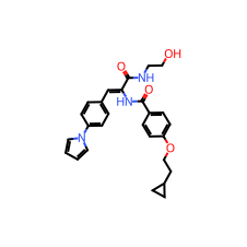 O=C(NCCO)C(=Cc1ccc(-n2cccc2)cc1)NC(=O)c1ccc(OCCC2CC2)cc1